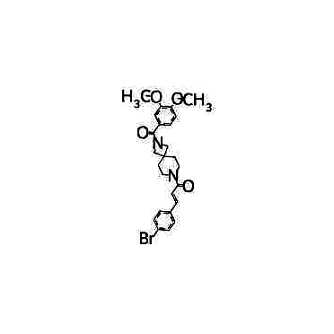 COc1ccc(C(=O)N2CC3(CCN(C(=O)/C=C/c4ccc(Br)cc4)CC3)C2)cc1OC